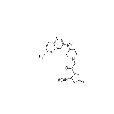 C#[N+][C@@H]1C[C@H](F)CN1C(=O)CN1CCC(Nc2cnc3ccc(C)cc3c2)CC1